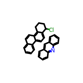 ClC1CCCc2c1ccc1c2ccc2ccccc21.c1ccc2nc3ccccc3cc2c1